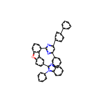 c1ccc(-c2ccc(-c3cc(-c4ccccc4)nc(-c4cccc5oc6ccc(-c7nc8ccccc8n7-c7ccccc7)cc6c45)n3)cc2)cc1